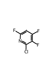 Fc1[c]c(F)c(F)c(Cl)n1